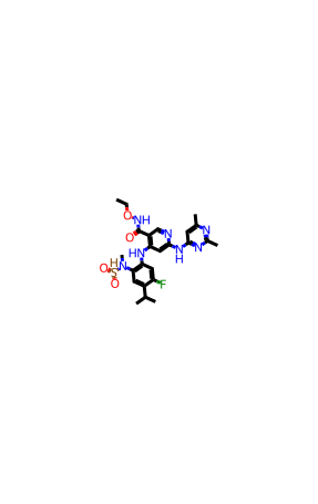 CCONC(=O)c1cnc(Nc2cc(C)nc(C)n2)cc1Nc1cc(F)c(C(C)C)cc1N(C)[SH](=O)=O